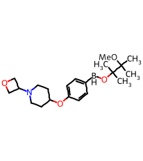 COC(C)(C)C(C)(C)OBc1ccc(OC2CCN(C3COC3)CC2)cc1